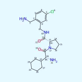 NCc1ccc(Cl)cc1CNC(=O)[C@@H]1CCCN1C(=O)[C@H](N)C1CCCCC1